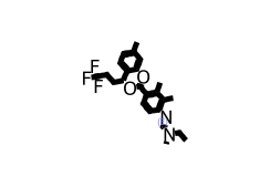 CCN(C)/C=N/c1ccc(C(=O)OC(CCC(F)(F)F)c2ccc(C)cc2)c(C)c1C